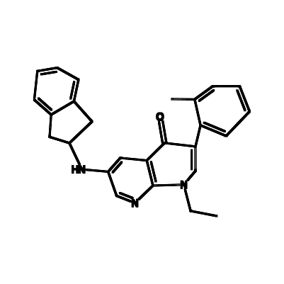 CCn1cc(-c2ccccc2C)c(=O)c2cc(NC3Cc4ccccc4C3)cnc21